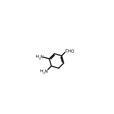 NC1=CC(C=O)=CCC1N